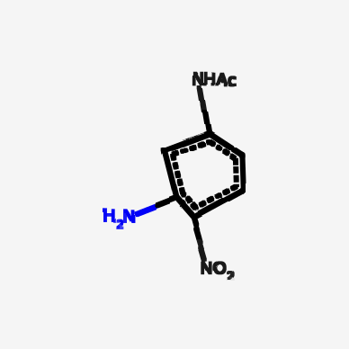 CC(=O)Nc1ccc([N+](=O)[O-])c(N)c1